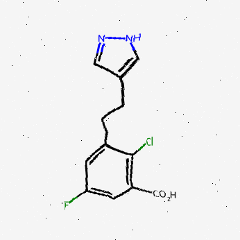 O=C(O)c1cc(F)cc(CCc2cn[nH]c2)c1Cl